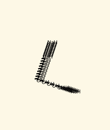 CCO.CCO.CCO.CCO.CCO.CCO.CCO.CCO.CCO.CCO.CCO.CCO.CCO.[NaH].[NaH].[NaH].[NaH].[NaH].[NaH].[NaH].[NaH].[NaH].[NaH].[NaH].[NaH].[NaH].[NaH].[NaH].[NaH].[NaH].[NaH].[NaH].[NaH]